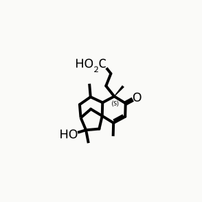 CC1=CC(=O)[C@@](C)(CCC(=O)O)C2C(C)CC3CC12CC3(C)O